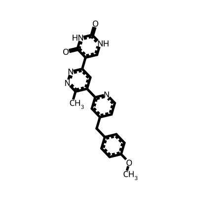 COc1ccc(Cc2ccnc(-c3cc(-c4c[nH]c(=O)[nH]c4=O)nnc3C)c2)cc1